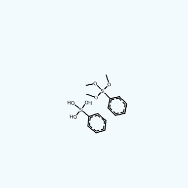 CO[Si](OC)(OC)c1ccccc1.O[Si](O)(O)c1ccccc1